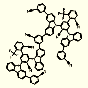 N#Cc1cccc(-c2ccc3c(c2)c2ccccc2n3-c2cc(-c3c(C#N)cccc3C(F)(F)F)cc(-n3c4ccc(-c5cccc(C#N)c5)cc4c4cc(-c5cc(C#N)cc(-c6ccc7c8ccccc8n(-c8cc(-c9c(C#N)cccc9C(F)(F)F)cc(-n9c%10ccccc%10c%10ccc(-c%11cccc(C#N)c%11)cc%109)c8C#N)c7c6)c5)ccc43)c2C#N)c1